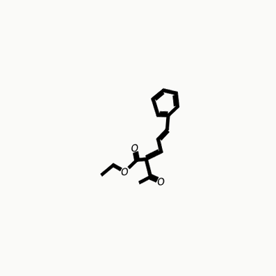 CCOC(=O)C(=CC=Cc1ccccc1)C(C)=O